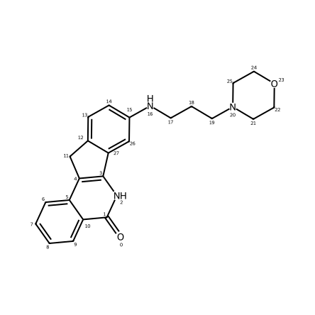 O=c1[nH]c2c(c3ccccc13)Cc1ccc(NCCCN3CCOCC3)cc1-2